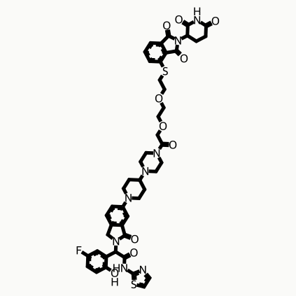 O=C1CCC(N2C(=O)c3cccc(SCCOCCOCC(=O)N4CCN(C5CCN(c6ccc7c(c6)C(=O)N(C(C(=O)Nc6nccs6)c6cc(F)ccc6O)C7)CC5)CC4)c3C2=O)C(=O)N1